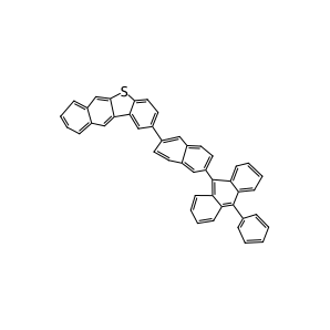 c1ccc(-c2c3ccccc3c(-c3ccc4cc(-c5ccc6sc7cc8ccccc8cc7c6c5)ccc4c3)c3ccccc23)cc1